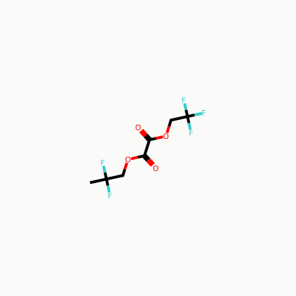 CC(F)(F)COC(=O)C(=O)OCC(F)(F)F